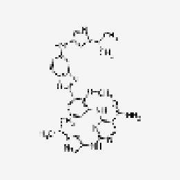 COc1c(Nc2nc(Nc3cnn(C(C)C)c3)ncc2C(N)=O)cccc1-c1nc2cc(Nc3cnn(C(C)C)c3)ccc2o1